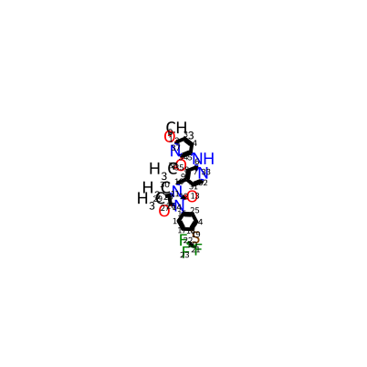 COc1ccc(Nc2cc(CN3C(=O)N(c4ccc(SC(F)(F)F)cc4)C(=O)C3(C)C)ccn2)c(OC)n1